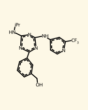 CC(C)Nc1nc(Nc2ccnc(C(F)(F)F)c2)nc(-c2cccc(CO)c2)n1